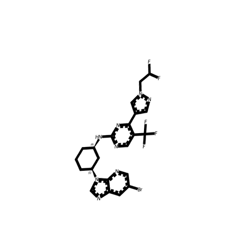 FC(F)Cn1cc(-c2nc(N[C@@H]3CCC[C@H](n4cnc5cc(Br)cnc54)C3)ncc2C(F)(F)F)cn1